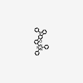 c1ccc(-c2nc(-c3ccccc3)nc(-c3cccc4c3oc3cc5c6ccccc6n(-c6ccccc6)c5cc34)n2)cc1